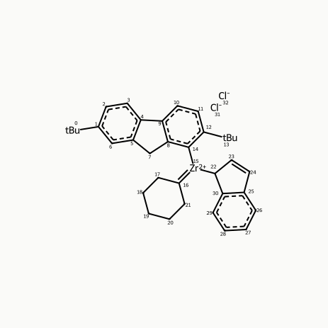 CC(C)(C)c1ccc2c(c1)Cc1c-2ccc(C(C)(C)C)[c]1[Zr+2](=[C]1CCCCC1)[CH]1C=Cc2ccccc21.[Cl-].[Cl-]